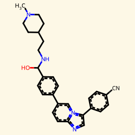 CN1CCC(CCNC(O)c2ccc(-c3ccc4ncc(-c5ccc(C#N)cc5)n4c3)cc2)CC1